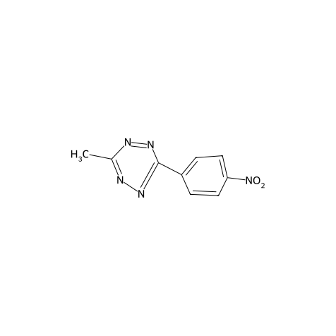 Cc1nnc(-c2ccc([N+](=O)[O-])cc2)nn1